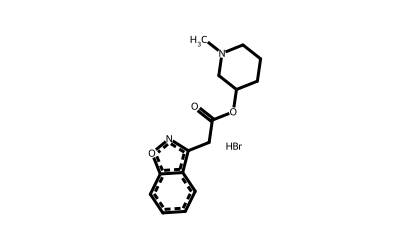 Br.CN1CCCC(OC(=O)Cc2noc3ccccc23)C1